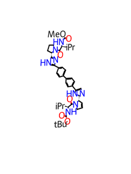 COC(=O)N[C@H](C(=O)N1CCC[C@H]1c1nc(-c2ccc(-c3ccc(-c4cnc([C@@H]5C=CCN5C(=O)[C@@H](NC(=O)OC(C)(C)C)C(C)C)[nH]4)cc3)cc2)c[nH]1)C(C)C